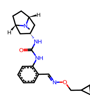 CN1[C@@H]2CC[C@H]1C[C@@H](NC(=O)Nc1ccccc1/C=N/OCC1CC1)C2